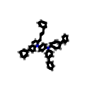 C=C/C(=C\C=C\c1ccccc1)N(c1ccc(-c2ccccc2)cc1)c1ccc(N(C2=CCC(c3ccccc3)C=C2)c2ccc(-c3ccccc3)cc2)cc1